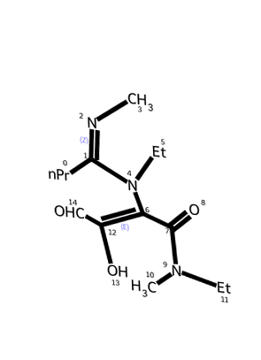 CCC/C(=N/C)N(CC)/C(C(=O)N(C)CC)=C(/O)C=O